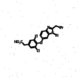 CCn1c(CC(C)C)nc2ccc(Oc3c(Cl)cc(CC(=O)O)cc3Cl)cc21